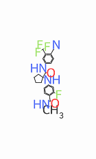 CNC(=O)c1ccc(NC2(C(=O)Nc3ccc(C#N)c(C(F)(F)F)c3)CCCC2)cc1F